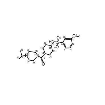 COc1cccc(S(=O)(=O)N[C@H]2CC[C@H](C(=O)N3CCN(C(C)C)CC3)CC2)c1